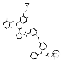 O=C(N[C@@H](c1ccccc1)c1cccc(OCc2cccc(S(=O)(=O)N3CCC[C@H]3C(=O)O[C@@H](Cc3c(Cl)cncc3Cl)c3ccc(O)c(OCC4CC4)c3)c2)c1)O[C@H]1CN2CCC1CC2